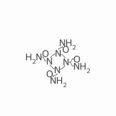 NCC(C=O)N1CCN(CC(N)=O)CCN(CC(N)=O)CCN(CC(N)=O)CC1